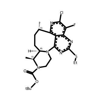 CCSc1nc2c3c(nc(Cl)c(F)c3n1)[C@@H](C)CC[C@@H]1[C@H](C)N(C(=O)OC(C)(C)C)CCN21